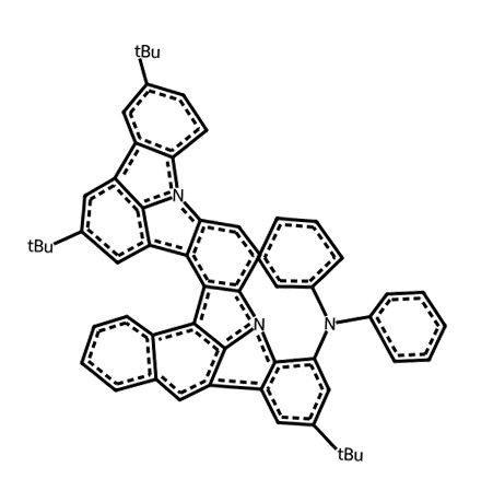 CC(C)(C)c1ccc2c(c1)c1cc(C(C)(C)C)cc3c4c5c6c7ccccc7cc7c8cc(C(C)(C)C)cc(N(c9ccccc9)c9ccccc9)c8n(c5ccc4n2c13)c76